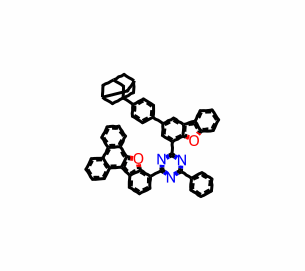 c1ccc(-c2nc(-c3cc(-c4ccc(C56CC7CC(CC(C7)C5)C6)cc4)cc4c3oc3ccccc34)nc(-c3cccc4c3oc3c5ccccc5c5ccccc5c43)n2)cc1